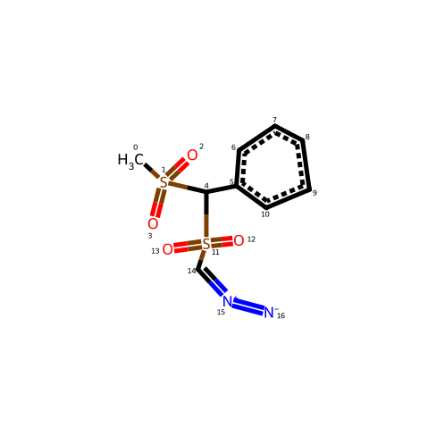 CS(=O)(=O)C(c1ccccc1)S(=O)(=O)C=[N+]=[N-]